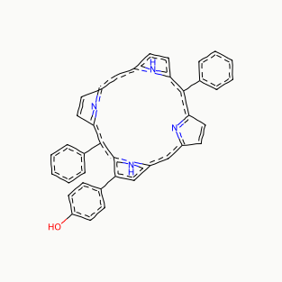 Oc1ccc(-c2cc3cc4nc(c(-c5ccccc5)c5ccc(cc6nc(c(-c7ccccc7)c2[nH]3)C=C6)[nH]5)C=C4)cc1